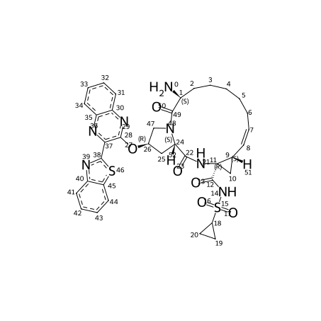 N[C@H]1CCCCCC=C[C@@H]2C[C@@]2(C(=O)NS(=O)(=O)C2CC2)NC(=O)[C@@H]2C[C@@H](Oc3nc4ccccc4nc3-c3nc4ccccc4s3)CN2C1=O